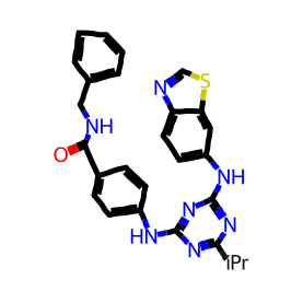 CC(C)c1nc(Nc2ccc(C(=O)NCc3ccccc3)cc2)nc(Nc2ccc3ncsc3c2)n1